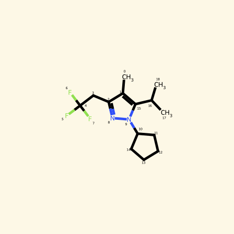 Cc1c(CC(F)(F)F)nn(C2CCCC2)c1C(C)C